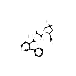 CC(NC(=O)c1ccncc1-c1ccccc1)C(=O)N1CC(F)(F)CC1C#N